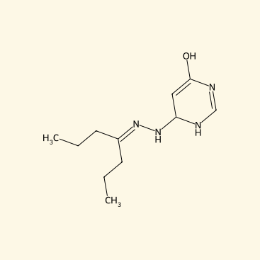 CCCC(CCC)=NNC1C=C(O)N=CN1